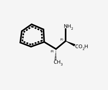 C[C@H](c1ccccc1)[C@@H](N)C(=O)O